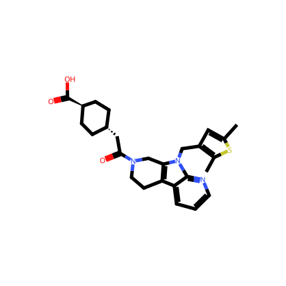 Cc1cc(Cn2c3c(c4cccnc42)CCN(C(=O)C[C@H]2CC[C@H](C(=O)O)CC2)C3)c(C)s1